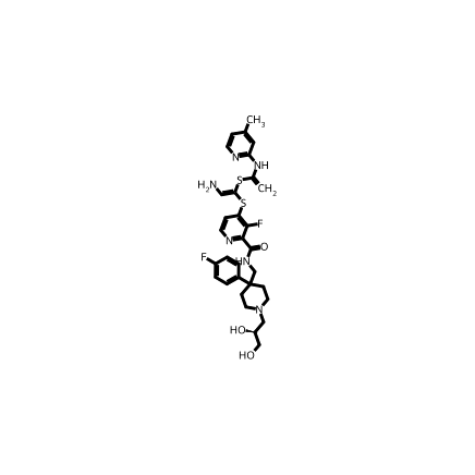 C=C(Nc1cc(C)ccn1)S/C(=C\N)Sc1ccnc(C(=O)NCC2(c3ccc(F)cc3)CCN(C[C@H](O)CO)CC2)c1F